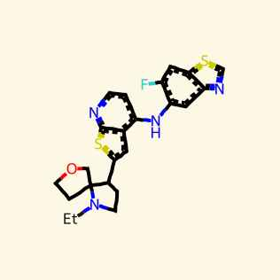 CCN1CCC(c2cc3c(Nc4cc5ncsc5cc4F)ccnc3s2)C12CCOC2